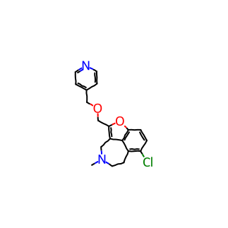 CN1CCc2c(Cl)ccc3oc(COCc4ccncc4)c(c23)C1